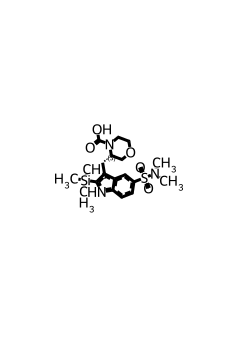 CN(C)S(=O)(=O)c1ccc2[nH]c([Si](C)(C)C)c(C[C@H]3COCCN3C(=O)O)c2c1